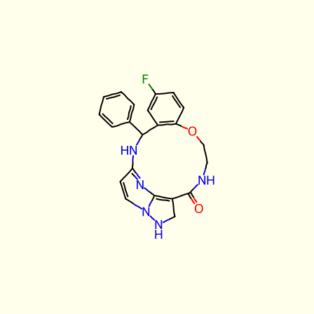 O=C1NCCOc2ccc(F)cc2C(c2ccccc2)NC2=NC3=C1CNN3C=C2